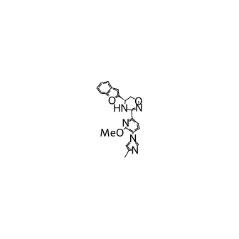 COc1nc(C2=NOC[C@H](c3cc4ccccc4o3)N2)ccc1-n1cnc(C)c1